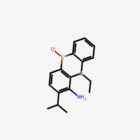 CCB1c2ccccc2[S+]([O-])c2ccc(C(C)C)c(N)c21